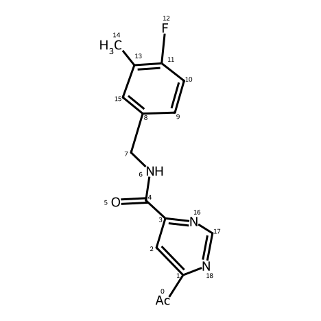 CC(=O)c1cc(C(=O)NCc2ccc(F)c(C)c2)ncn1